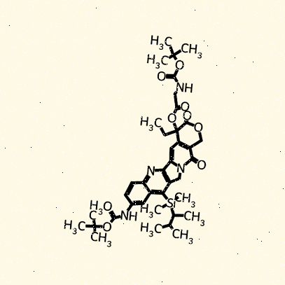 CCC1(OC(=O)CNC(=O)OC(C)(C)C)C(=O)OCc2c1cc1n(c2=O)Cc2c-1nc1ccc(NC(=O)OC(C)(C)C)cc1c2[Si](C)(C)C(C)C(C)C